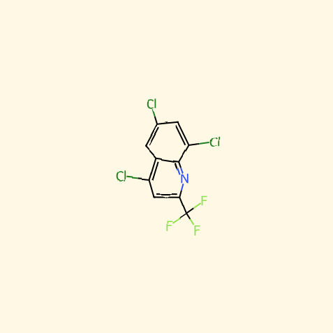 FC(F)(F)c1cc(Cl)c2cc(Cl)cc(Cl)c2n1